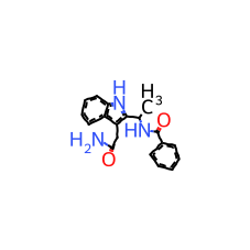 CC(NC(=O)c1ccccc1)c1[nH]c2ccccc2c1CC(N)=O